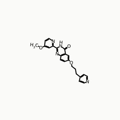 COc1ccnc(-c2nc3ccc(OCCCc4ccncc4)cc3c(=O)[nH]2)c1